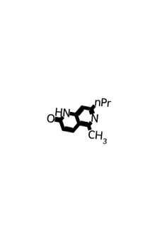 CCCc1cc2[nH]c(=O)ccc2c(C)n1